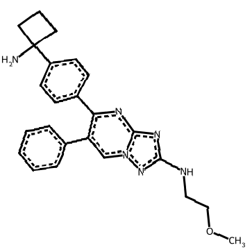 COCCNc1nc2nc(-c3ccc(C4(N)CCC4)cc3)c(-c3ccccc3)cn2n1